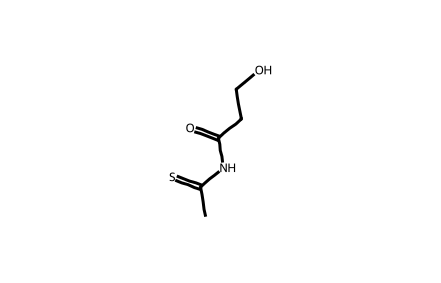 CC(=S)NC(=O)CCO